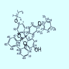 CCC(C)(C)Oc1ccc(C(c2ccc(O)cc2)(c2ccc(Oc3c(C)cc(C)cc3C)cc2)P2(=O)Oc3ccccc3-c3ccccc32)cc1